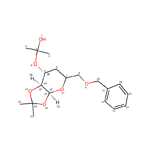 CC(C)(O)O[C@@H]1CC(COCc2ccccc2)O[C@H]2OC(C)(C)O[C@H]21